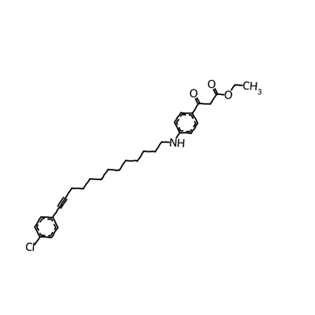 CCOC(=O)CC(=O)c1ccc(NCCCCCCCCCCCC#Cc2ccc(Cl)cc2)cc1